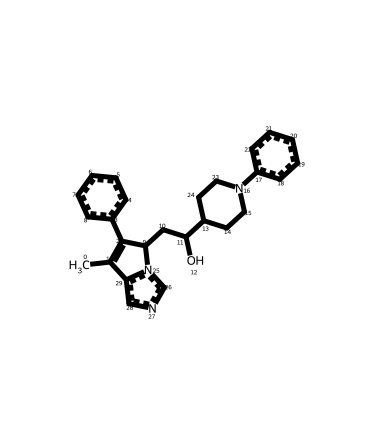 CC1=C(c2ccccc2)C(CC(O)C2CCN(c3ccccc3)CC2)n2cncc21